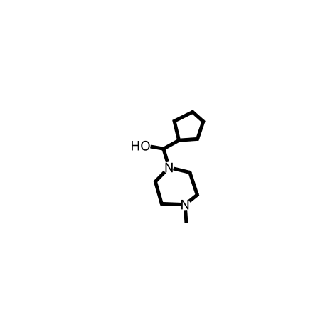 CN1CCN(C(O)C2CCCC2)CC1